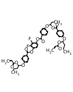 C=CC(=O)OC(CCC)Oc1ccc(C(=O)Oc2ccc(OC(=O)c3ccc(OC(CC)OC(=O)c4ccc(OC(CCC)OC(=O)C=C)cc4)cc3)c(F)c2F)cc1